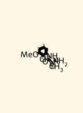 COc1cccc(NC(=O)N(C)N)c1C